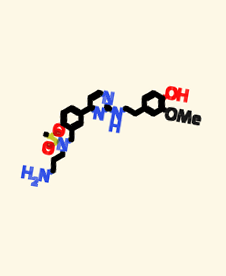 COc1cc(CCNc2nccc(-c3cccc(CN(CCCN)S(C)(=O)=O)c3)n2)ccc1O